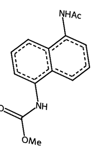 COC(=O)Nc1cccc2c(NC(C)=O)cccc12